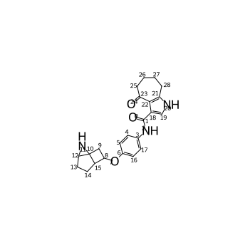 O=C(Nc1ccc(OC2CC34NC3CCC24)cc1)c1c[nH]c2c1C(=O)CCCC2